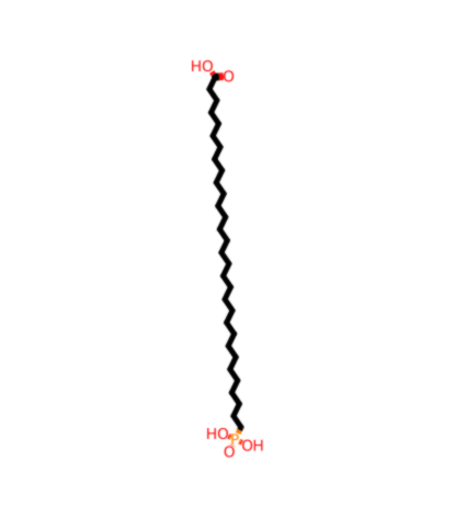 O=C(O)CCCCCCCCCCCCCCCCCCCCCCCCCCCCCCP(=O)(O)O